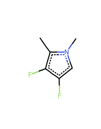 Cc1c(F)c(F)cn1C